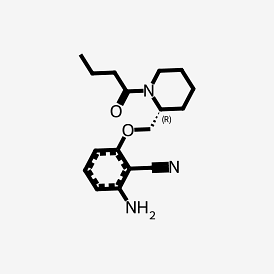 CCCC(=O)N1CCCC[C@@H]1COc1cccc(N)c1C#N